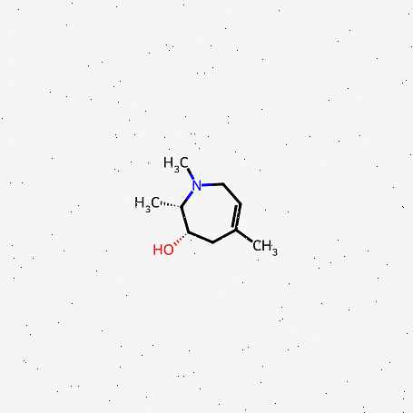 CC1=CCN(C)[C@@H](C)[C@@H](O)C1